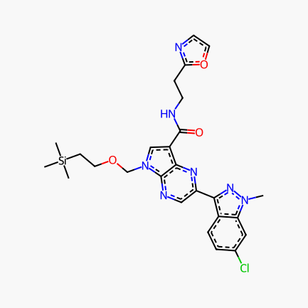 Cn1nc(-c2cnc3c(n2)c(C(=O)NCCc2ncco2)cn3COCC[Si](C)(C)C)c2ccc(Cl)cc21